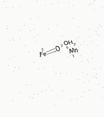 O.[Mn].[O]=[Fe]